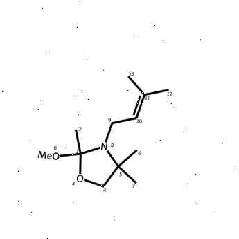 COC1(C)OCC(C)(C)N1CC=C(C)C